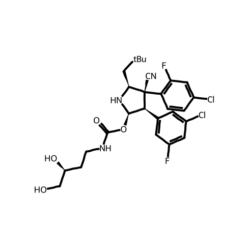 CC(C)(C)C[C@@H]1N[C@H](OC(=O)NCC[C@H](O)CO)[C@H](c2cc(F)cc(Cl)c2)[C@@]1(C#N)c1ccc(Cl)cc1F